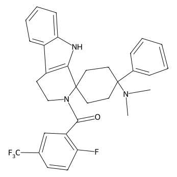 CN(C)C1(c2ccccc2)CCC2(CC1)c1[nH]c3ccccc3c1CCN2C(=O)c1cc(C(F)(F)F)ccc1F